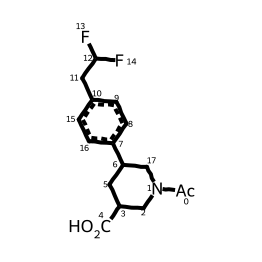 CC(=O)N1CC(C(=O)O)CC(c2ccc(CC(F)F)cc2)C1